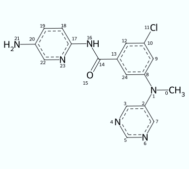 CN(c1cncnc1)c1cc(Cl)cc(C(=O)Nc2ccc(N)cn2)c1